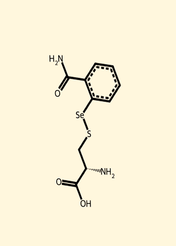 NC(=O)c1ccccc1[Se]SC[C@H](N)C(=O)O